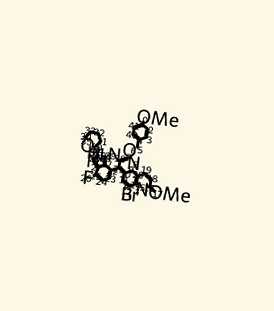 COc1ccc(COc2nc3c(cc(Br)c4nc(OC)ccc43)c(-c3ccc(F)c4nn(C5CCCCO5)cc34)c2N)cc1